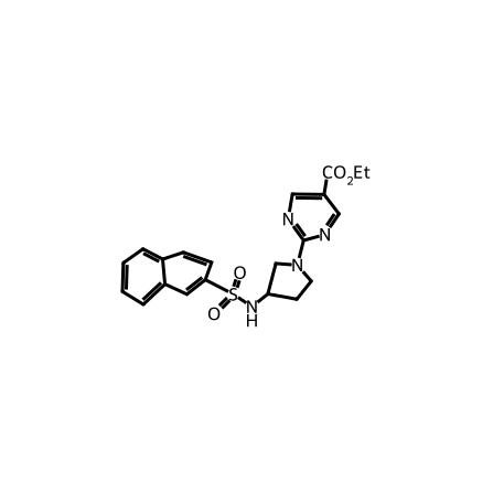 CCOC(=O)c1cnc(N2CCC(NS(=O)(=O)c3ccc4ccccc4c3)C2)nc1